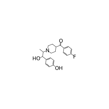 CC(C(O)c1ccc(O)cc1)N1CCC(C(=O)c2ccc(F)cc2)CC1